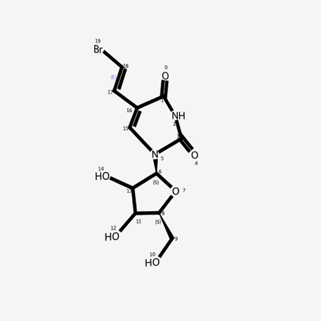 O=c1[nH]c(=O)n([C@H]2O[C@@H](CO)C(O)C2O)cc1/C=C/Br